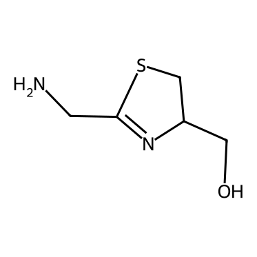 NCC1=NC(CO)CS1